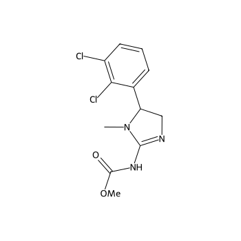 COC(=O)NC1=NCC(c2cccc(Cl)c2Cl)N1C